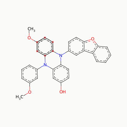 COc1cccc(N(c2cccc(OC)c2)c2cc(O)ccc2N(c2ccccc2)c2ccc3oc4ccccc4c3c2)c1